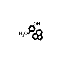 C1=Cc2cccc3cccc1c23.C=Cc1ccc(O)cc1